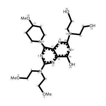 COCCN(CCOC)c1nc(N2CCC(OC)CC2)c2nc(N(CCO)CCO)nc(O)c2n1